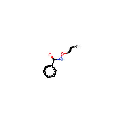 CCC=CONC(=O)c1ccccc1